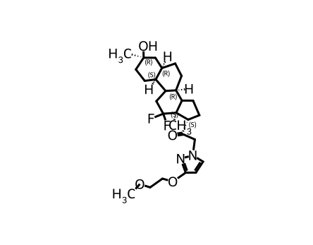 COCCOc1ccn(CC(=O)[C@H]2CCC3[C@@H]4CC[C@@H]5C[C@](C)(O)CC[C@@H]5C4CC(F)(F)[C@@]32C)n1